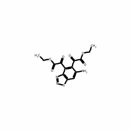 CCOC(=O)C(=O)c1c(N)cc2snnc2c1C(=O)C(=O)OCC